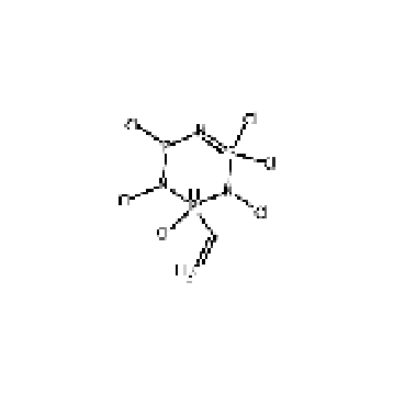 C=C[PH]1(Cl)N(Cl)P(Cl)N=P(Cl)(Cl)N1Cl